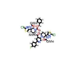 COC(=O)NC1(c2csc(Cl)n2)CCCN(C(=O)OCc2ccccc2)C1.COC(=O)NC1(c2csc(Cl)n2)CCCN(c2cnc(-c3ccc(F)cc3)cc2C(=O)OC)C1